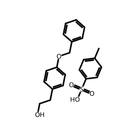 Cc1ccc(S(=O)(=O)O)cc1.OCCc1ccc(OCc2ccccc2)cc1